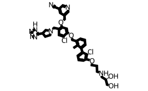 Cc1c(COc2cc(OCc3cncc(C#N)c3)c(CN3CCC(c4nnn[nH]4)C3)cc2Cl)cccc1-c1cccc(OCCCNC[C@H](O)CO)c1Cl